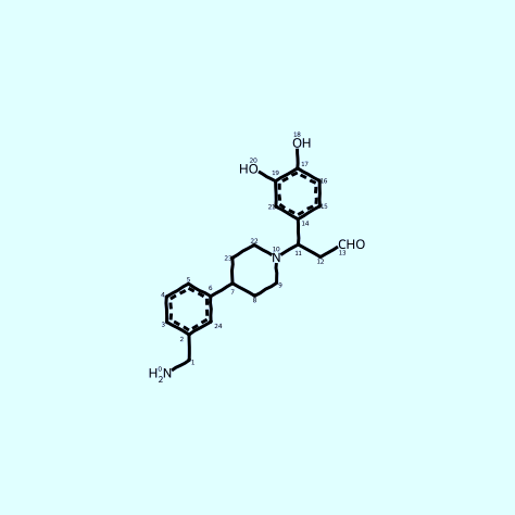 NCc1cccc(C2CCN(C(CC=O)c3ccc(O)c(O)c3)CC2)c1